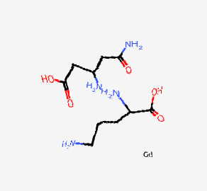 NC(=O)CC(N)CC(=O)O.NCCCC(N)C(=O)O.[Gd]